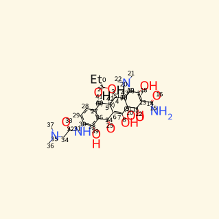 CCC(=O)O[C@H]1[C@H]2C(=C(O)[C@]3(O)C(=O)C(C(N)=O)=C(O)[C@@H](N(C)C)[C@H]13)C(=O)c1c(ccc(NC(=O)CN(C)C)c1O)[C@@H]2C